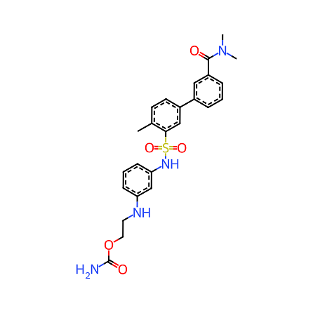 Cc1ccc(-c2cccc(C(=O)N(C)C)c2)cc1S(=O)(=O)Nc1cccc(NCCOC(N)=O)c1